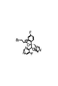 CC(c1ncncc1F)[C@@](Cn1cncn1)(OC(=O)CCBr)c1ccc(F)cc1F